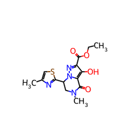 CCOC(=O)c1nn2c(c1O)C(=O)N(C)CC2c1nc(C)cs1